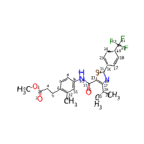 COC(=O)CCc1ccc(NC(=O)c2sc(-c3ccc(C(F)(F)F)cc3)nc2C(C)C)cc1C